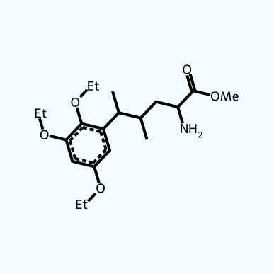 CCOc1cc(OCC)c(OCC)c(C(C)C(C)CC(N)C(=O)OC)c1